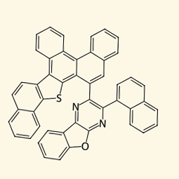 c1ccc2c(-c3nc4oc5ccccc5c4nc3-c3cc4ccccc4c4c5ccccc5c5c6ccc7ccccc7c6sc5c34)cccc2c1